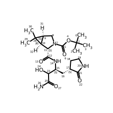 CC(C)(C)OC(=O)N1C[C@H]2[C@@H]([C@H]1C(=O)N[C@@H](C[C@@H]1CCNC1=O)C(O)C(N)=O)C2(C)C